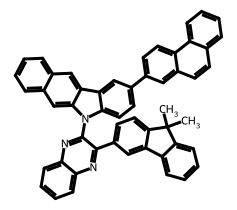 CC1(C)c2ccccc2-c2cc(-c3nc4ccccc4nc3-n3c4ccc(-c5ccc6c(ccc7ccccc76)c5)cc4c4cc5ccccc5cc43)ccc21